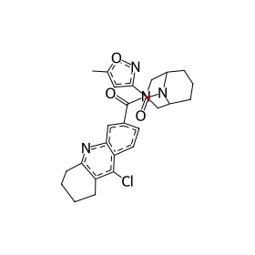 Cc1cc(C(=O)N2C3CCCC2CN(C(=O)c2ccc4c(Cl)c5c(nc4c2)CCCC5)C3)no1